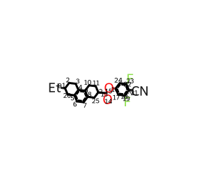 CCC1CCc2c(ccc3c2CCC(C(=O)Oc2cc(F)c(C#N)c(F)c2)C3)C1